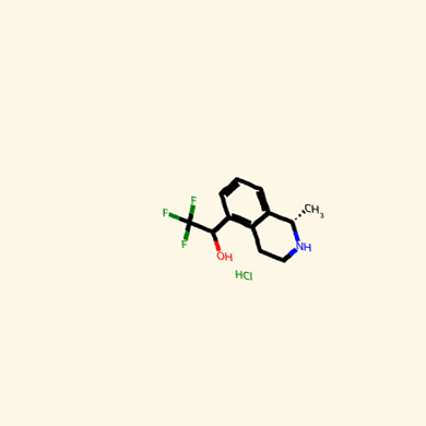 C[C@@H]1NCCc2c(C(O)C(F)(F)F)cccc21.Cl